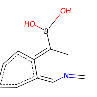 C=N/C=c1/cccc/c1=C(/C)B(O)O